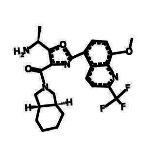 COc1ccc(-c2nc(C(=O)N3C[C@H]4CCCC[C@@H]4C3)c([C@H](C)N)o2)c2ccc(C(F)(F)F)nc12